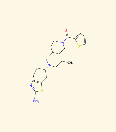 CCCN(CC1CCN(C(=O)c2cccs2)CC1)[C@H]1CCc2nc(N)sc2C1